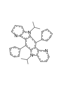 CC(C)n1c2cccnc2c2c(-c3ccccc3)c3c(c(-c4ccccc4)c21)c1ncccc1n3C(C)C